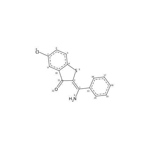 NC(=C1Sc2ccc(Cl)cc2C1=O)c1ccccc1